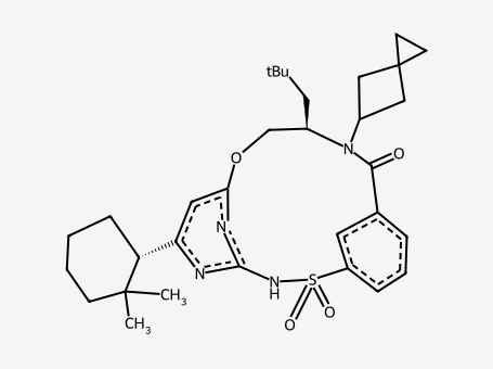 CC(C)(C)C[C@@H]1COc2cc([C@H]3CCCCC3(C)C)nc(n2)NS(=O)(=O)c2cccc(c2)C(=O)N1C1CC2(CC2)C1